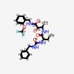 CCC(NC(=O)C(CC(C)C)NC(=O)NCc1ccccc1)C(=O)C(=O)NCc1ccccc1OC(F)F